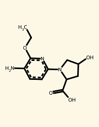 CCOc1nc(N2CC(O)CC2C(=O)O)ccc1N